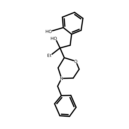 CCC(O)(Cc1ccccc1O)C1CN(Cc2ccccc2)CCO1